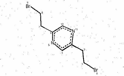 BrCCc1cnc(CCBr)cn1